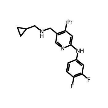 CC(C)c1cc(Nc2ccc(F)c(F)c2)ncc1CNCC1CC1